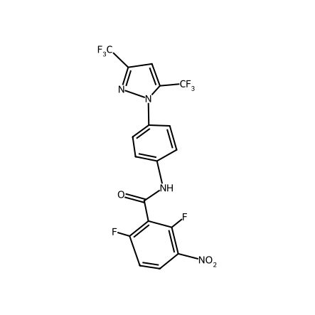 O=C(Nc1ccc(-n2nc(C(F)(F)F)cc2C(F)(F)F)cc1)c1c(F)ccc([N+](=O)[O-])c1F